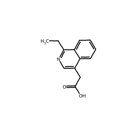 CCc1ncc(CC(=O)O)c2ccccc12